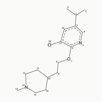 CC(C)c1cnc(OCCC2CCN(C)CC2)c(Cl)c1